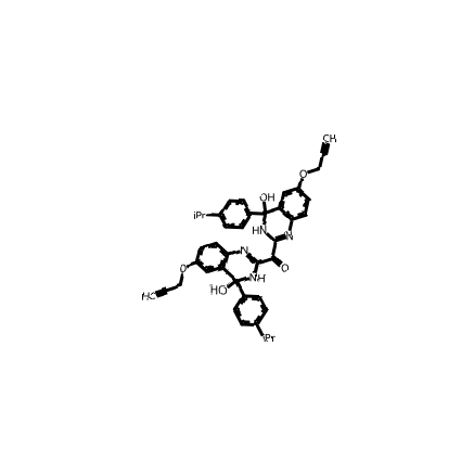 C#CCOc1ccc2c(c1)C(O)(c1ccc(C(C)C)cc1)NC(C(=O)C1=Nc3ccc(OCC#C)cc3C(O)(c3ccc(C(C)C)cc3)N1)=N2